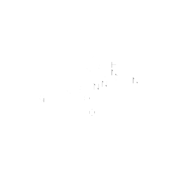 COCOc1cc(C#C[Si](C)(C)C)ccc1-c1nnc(N[C@@H]2CCCN(C)C2)c2ccccc12